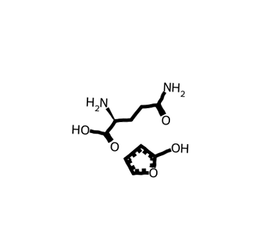 NC(=O)CC[C@H](N)C(=O)O.Oc1ccco1